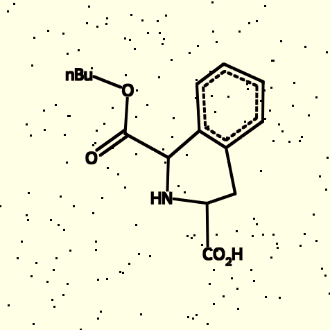 CCCCOC(=O)C1NC(C(=O)O)Cc2ccccc21